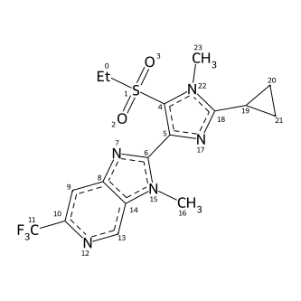 CCS(=O)(=O)c1c(-c2nc3cc(C(F)(F)F)ncc3n2C)nc(C2CC2)n1C